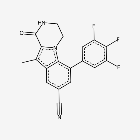 Cc1c2n(c3c(-c4cc(F)c(F)c(F)c4)cc(C#N)cc13)CCNC2=O